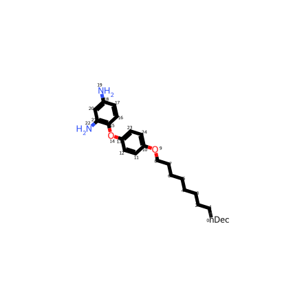 CCCCCCCCCCCCCCCCCCOc1ccc(Oc2ccc(N)cc2N)cc1